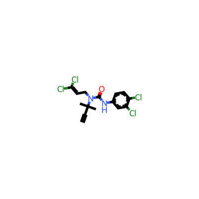 C#CC(C)(C)N(CC=C(Cl)Cl)C(=O)Nc1ccc(Cl)c(Cl)c1